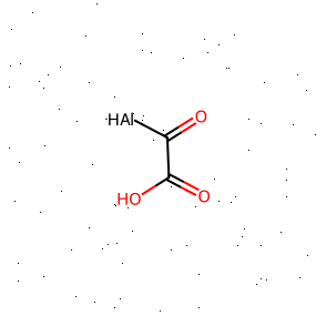 O=C(O)[C](=O)[AlH]